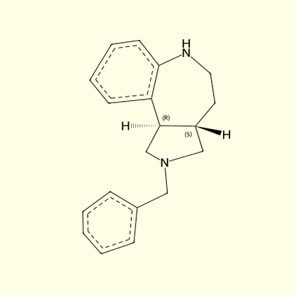 c1ccc(CN2C[C@H]3CCNc4ccccc4[C@@H]3C2)cc1